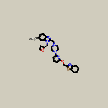 O=C(O)c1ccc2nc(CN3CCN(c4cccc(OCc5nc6c(s5)CCCC6)n4)CC3)n(C[C@@H]3CCO3)c2c1